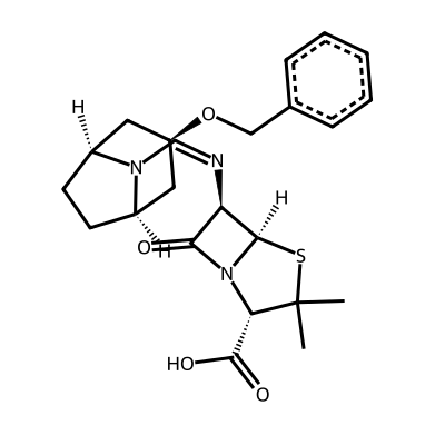 CC1(C)S[C@@H]2[C@H](/N=C\N3[C@@H]4CC[C@H]3C[C@@H](OCc3ccccc3)C4)C(=O)N2[C@H]1C(=O)O